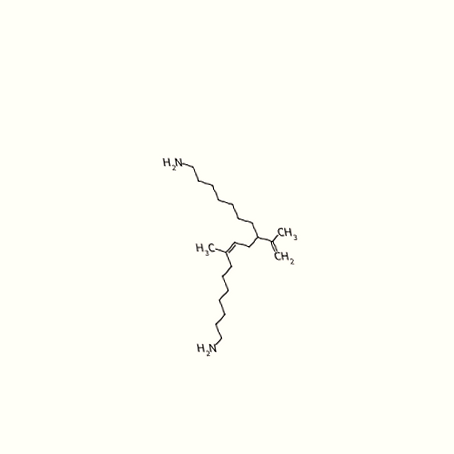 C=C(C)C(CC=C(C)CCCCCCCN)CCCCCCCN